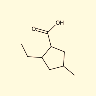 CCC1CC(C)CC1C(=O)O